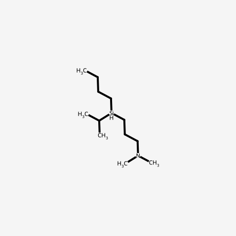 CCCC[SiH](CCCN(C)C)C(C)C